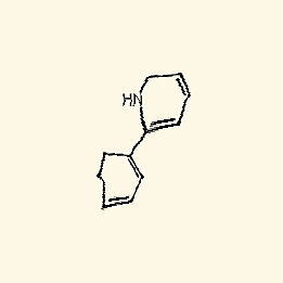 C1=CCCC(C2=CC=CCN2)=C1